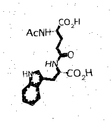 CC(=O)N[C@@H](CCC(=O)N[C@@H](Cc1c[nH]c2ccccc12)C(=O)O)C(=O)O